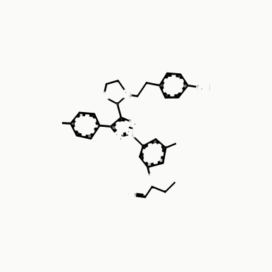 CCCC=O.Cc1cc(F)cc(-n2nc(-c3ccc(F)cc3)c(C3OCCN3CCc3ccc(N)cc3)n2)c1